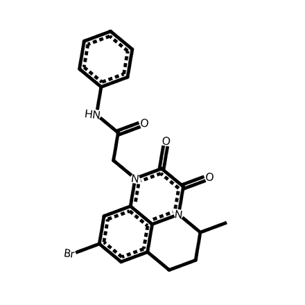 CC1CCc2cc(Br)cc3c2n1c(=O)c(=O)n3CC(=O)Nc1ccccc1